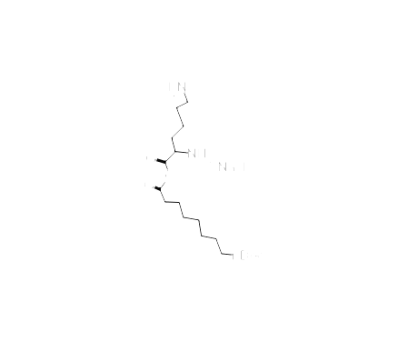 CCCCCCCCCCCCCCCCCC(=O)OC(=O)C(N)CCCCN.[NaH]